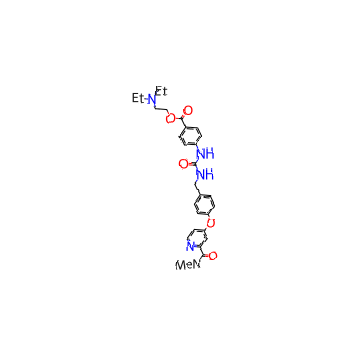 CCN(CC)CCOC(=O)c1ccc(NC(=O)NCc2ccc(Oc3ccnc(C(=O)NC)c3)cc2)cc1